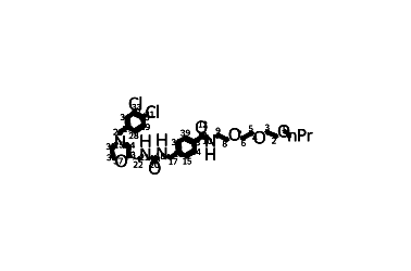 CCCOCCOCCOCCNC(=O)c1ccc(CNC(=O)NC[C@H]2CN(Cc3ccc(Cl)c(Cl)c3)CCO2)cc1